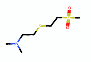 CN(C)CCSCCS(C)(=O)=O